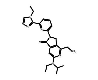 CCN(c1cc2c(c(CN)n1)CN(c1cccc(-c3nncn3CC)n1)C2=O)C(C)C